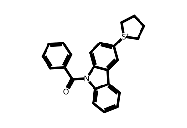 O=C(c1ccccc1)n1c2ccccc2c2cc([S+]3CCCC3)ccc21